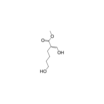 COC(=O)C(=CO)CCCCO